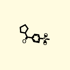 CS(=O)(=O)c1ccc(C(=O)C2CCCC2)cc1